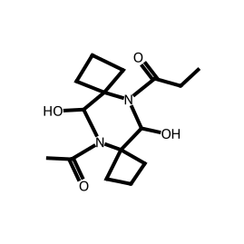 CCC(=O)N1C(O)C2(CCC2)N(C(C)=O)C(O)C12CCC2